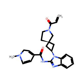 C=CC(=O)N1CC[C@]2(C1)C[C@H](n1c(NC(=O)C3=CCN(C)C=C3)nc3ccccc31)C2